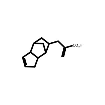 C=C(CC1CC2CC1C1CC=CC21)C(=O)O